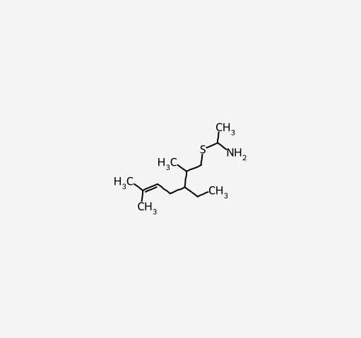 CCC(CC=C(C)C)C(C)CSC(C)N